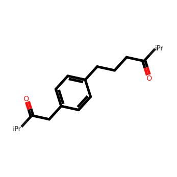 CC(C)C(=O)CCCc1ccc(CC(=O)C(C)C)cc1